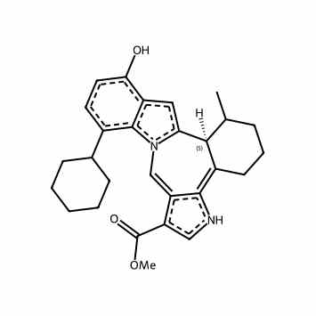 COC(=O)c1c[nH]c2c1=Cn1c(cc3c(O)ccc(C4CCCCC4)c31)[C@@H]1C=2CCCC1C